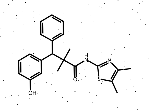 Cc1nc(NC(=O)C(C)(C)C(c2ccccc2)c2cccc(O)c2)sc1C